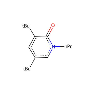 CCCn1cc(C(C)(C)C)cc(C(C)(C)C)c1=O